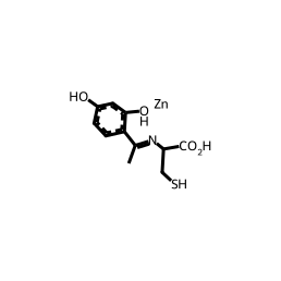 CC(=NC(CS)C(=O)O)c1ccc(O)cc1O.[Zn]